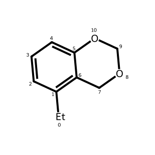 CCc1cccc2c1COCO2